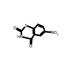 O=c1[nH]c(=O)c2cc([N+](=O)[O-])ccc2s1